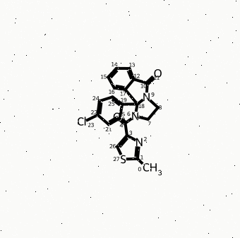 Cc1nc(C(=O)N2CCN3C(=O)c4ccccc4C23c2ccc(Cl)cc2)cs1